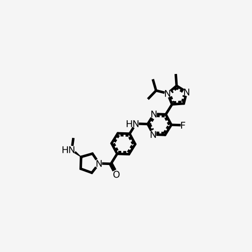 CN[C@@H]1CCN(C(=O)c2ccc(Nc3ncc(F)c(-c4cnc(C)n4C(C)C)n3)cc2)C1